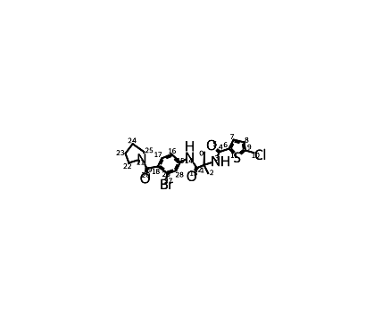 CC(C)(NC(=O)c1ccc(Cl)s1)C(=O)Nc1ccc(C(=O)N2CCCC2)c(Br)c1